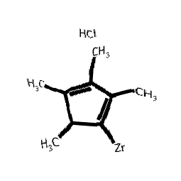 CC1=C(C)C(C)[C]([Zr])=C1C.Cl